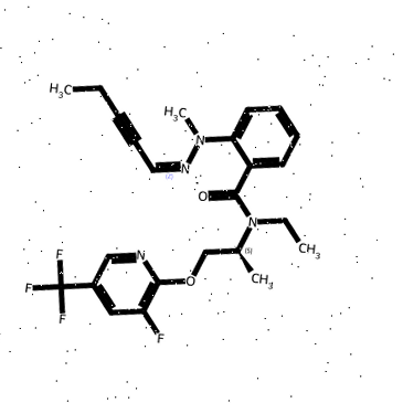 CCC#C/C=N\N(C)c1ccccc1C(=O)N(CC)[C@@H](C)COc1ncc(C(F)(F)F)cc1F